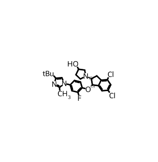 Cc1nc(C(C)(C)C)cn1-c1ccc(O[C@H]2c3cc(Cl)cc(Cl)c3C[C@@H]2N2CCC(O)C2)c(F)c1